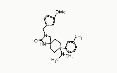 COc1ccc(CN2CC3(CCC(c4cccc(C)c4)(N(C)C)CC3)NC2=O)cc1